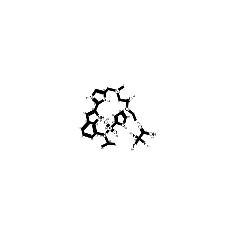 CCOC(=O)CN(C)Cc1cnc(-c2cc3cccc(N(C(C)C)S(=O)(=O)c4cccs4)c3[nH]2)s1.O=C(O)C(F)(F)F